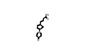 O=C(O)CC=Cc1ccc(-n2ccc(=O)cc2)cc1